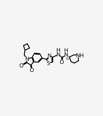 O=C(Nc1csc(-c2ccc3c(c2)C(=O)C(=O)N3CC2CCC2)n1)N[C@H]1CCCNC1